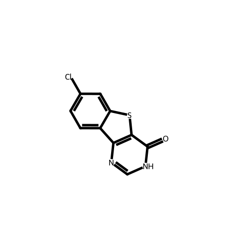 O=c1[nH]cnc2c1sc1cc(Cl)ccc12